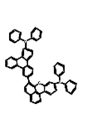 c1ccc(N(c2ccccc2)c2ccc3c(c2)Oc2c(-c4ccc5c6ccc(N(c7ccccc7)c7ccccc7)cc6c6ccccc6c5c4)ccc4cccc-3c24)cc1